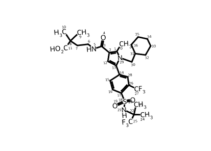 Cc1c(C(=O)NCCC(C)(C)C(=O)O)cc(-c2ccc(S(=O)(=O)NC(C)(C)C(F)(F)F)c(C(F)(F)F)c2)n1CC1CCCCC1